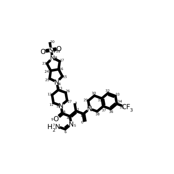 C=C(/C(C)=C(\N=C/N)C(=O)N1CCC(N2CC3CN(S(C)(=O)=O)CC3C2)CC1)N1CCc2ccc(C(F)(F)F)cc2C1